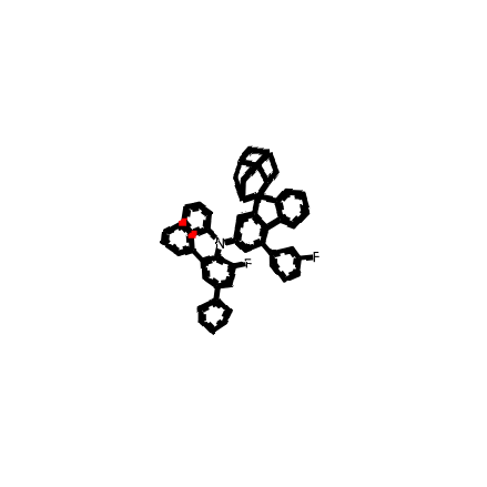 Fc1cccc(-c2cc(N(c3ccccc3)c3c(F)cc(-c4ccccc4)cc3-c3ccccc3)cc3c2-c2ccccc2C32C3CC4CC(C3)CC2C4)c1